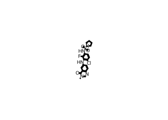 Cn1cnc2ccc(Nc3c(Cl)ccc(NS(=O)(=O)N4CCCC4)c3F)cc2c1=O